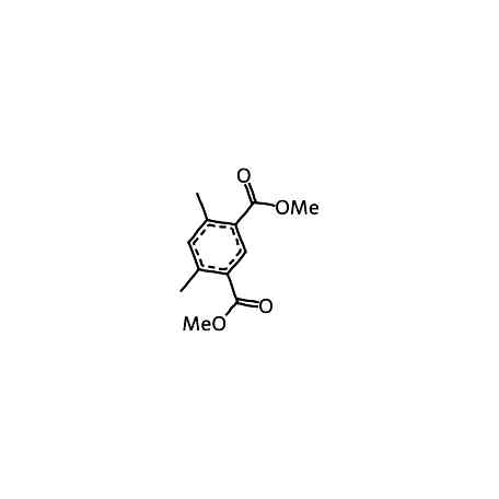 COC(=O)c1cc(C(=O)OC)c(C)cc1C